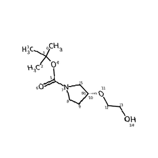 CC(C)(C)OC(=O)N1CC[C@@H](OCCO)C1